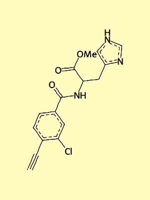 [C]#Cc1ccc(C(=O)NC(Cc2c[nH]cn2)C(=O)OC)cc1Cl